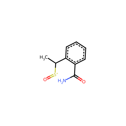 CC([S+]=O)c1ccccc1C(N)=O